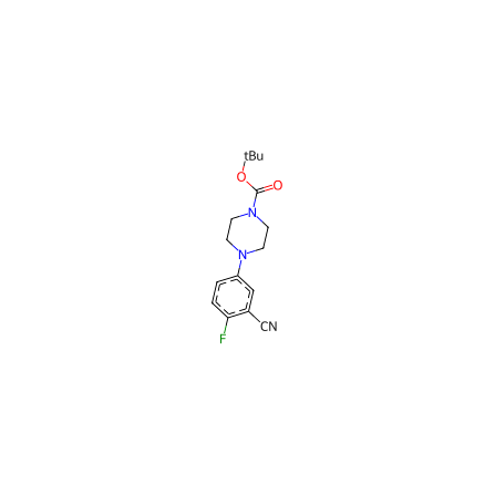 CC(C)(C)OC(=O)N1CCN(c2ccc(F)c(C#N)c2)CC1